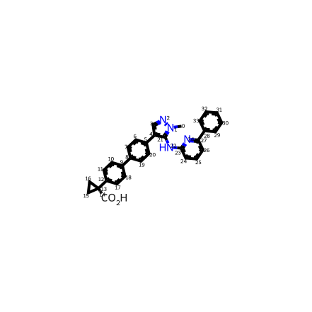 Cn1ncc(-c2ccc(-c3ccc(C4(C(=O)O)CC4)cc3)cc2)c1Nc1cccc(-c2ccccc2)n1